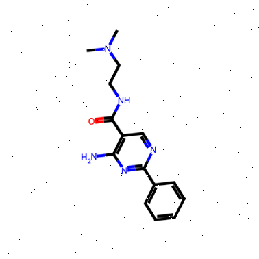 CN(C)CCNC(=O)c1cnc(-c2ccccc2)nc1N